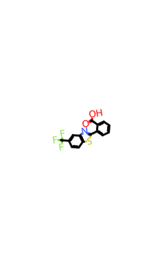 O=C(O)c1ccccc1-c1nc2cc(C(F)(F)F)ccc2s1